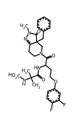 CN1N=C2CCN(C(=O)C(CCOc3ccc(F)c(F)c3)NC(=O)C(C)(C)NC(=O)O)CC2(Cc2ccccc2)C1=O